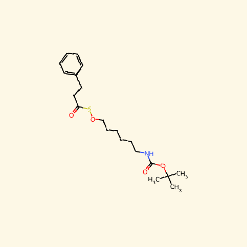 CC(C)(C)OC(=O)NCCCCCCOSC(=O)CCc1ccccc1